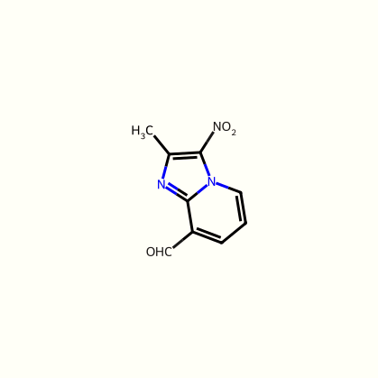 Cc1nc2c(C=O)cccn2c1[N+](=O)[O-]